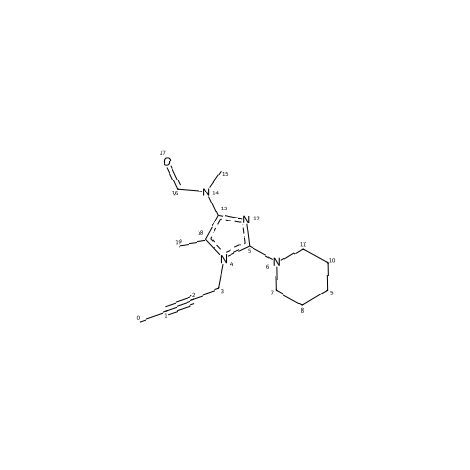 CC#CCn1c(N2CCCCC2)nc(N(C)C=O)c1C